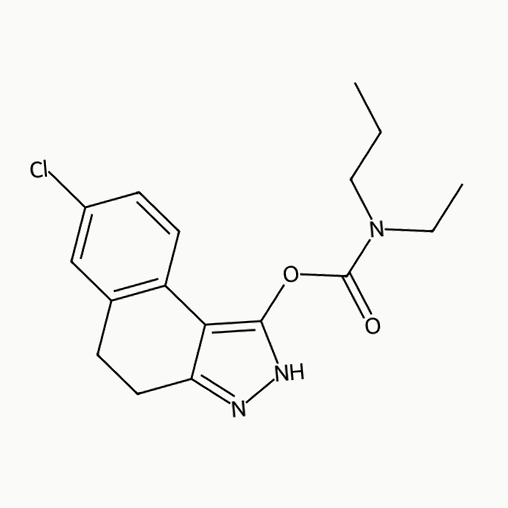 CCCN(CC)C(=O)Oc1[nH]nc2c1-c1ccc(Cl)cc1CC2